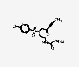 CC#CC(=O)CN(CCNC(=O)OC(C)(C)C)S(=O)(=O)c1ccc(Cl)nc1